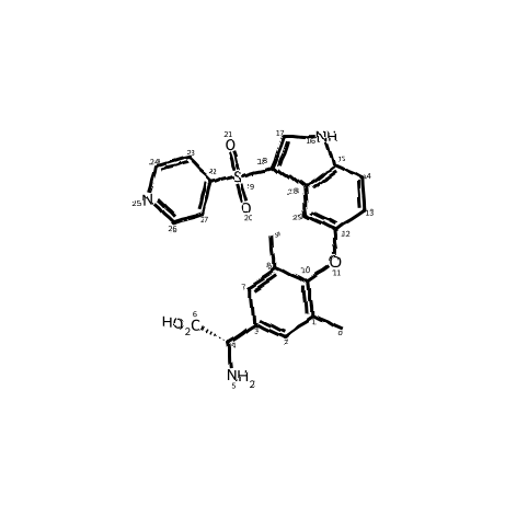 Cc1cc([C@H](N)C(=O)O)cc(C)c1Oc1ccc2[nH]cc(S(=O)(=O)c3ccncc3)c2c1